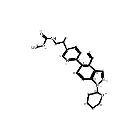 C=Cc1c(-c2ccc(C(C)CNC(=O)OC(C)(C)C)cn2)ccc2c1cnn2C1CCCCO1